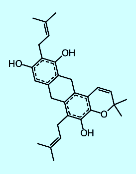 CC(C)=CCc1c(O)cc2c(c1O)Cc1c3c(c(O)c(CC=C(C)C)c1C2)OC(C)(C)C=C3